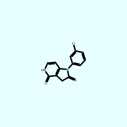 O=c1[nH]ccc2c1CC(=S)N2c1cccc(Cl)c1